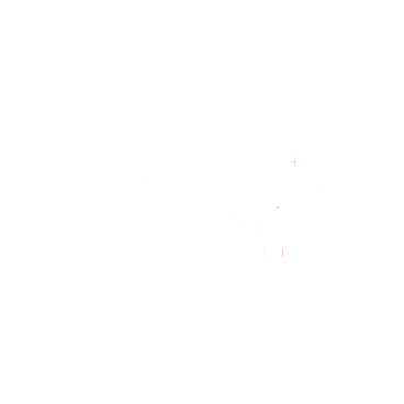 CCCCCCCCC(CC)C(CC)(C(=O)O)C(=O)O